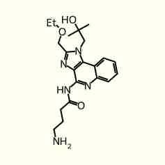 CCOCc1nc2c(NC(=O)CCCN)nc3ccccc3c2n1CC(C)(C)O